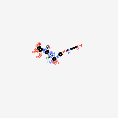 CC(=O)Nc1cc(Nc2nc(Cl)nc(Nc3cc(N)c(S(=O)(=O)O)cc3N=Nc3ccc(SOOCCNCCCCCC(=O)O)cc3)n2)ccc1N=Nc1cc2cc(S(=O)(=O)O)cc(S(=O)(=O)O)c2cc1SOOO